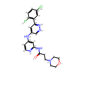 O=C(CCN1CCOCC1)Nc1cc(Nc2cnnc(-c3cc(Cl)ccc3F)c2)ccn1